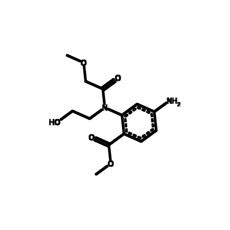 COCC(=O)N(CCO)c1cc(N)ccc1C(=O)OC